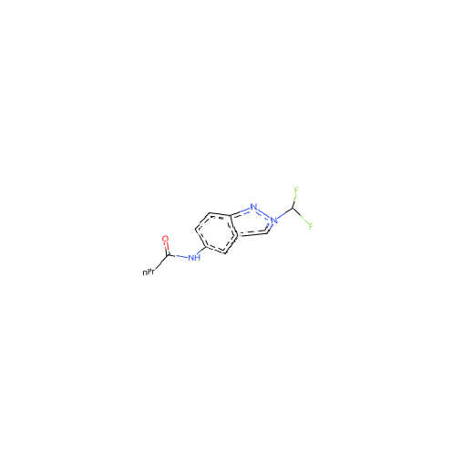 CCCC(=O)Nc1ccc2nn(C(F)F)cc2c1